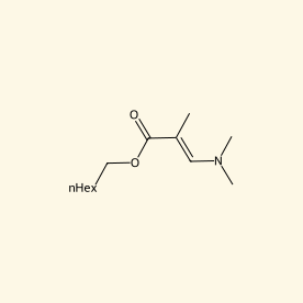 CCCCCCCOC(=O)C(C)=CN(C)C